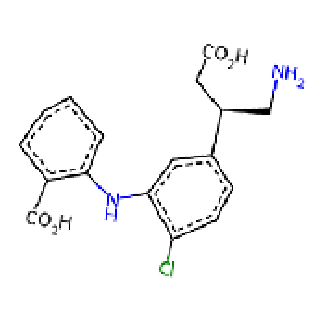 NC[C@H](CC(=O)O)c1ccc(Cl)c(Nc2ccccc2C(=O)O)c1